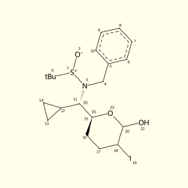 CC(C)(C)[S+]([O-])N(Cc1ccccc1)[C@@H](C1CC1)[C@@H]1CCC(I)C(O)O1